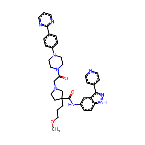 COCCCC1(C(=O)Nc2ccc3[nH]nc(-c4ccncc4)c3c2)CCN(CC(=O)N2CCN(c3ccc(-c4ncccn4)cc3)CC2)C1